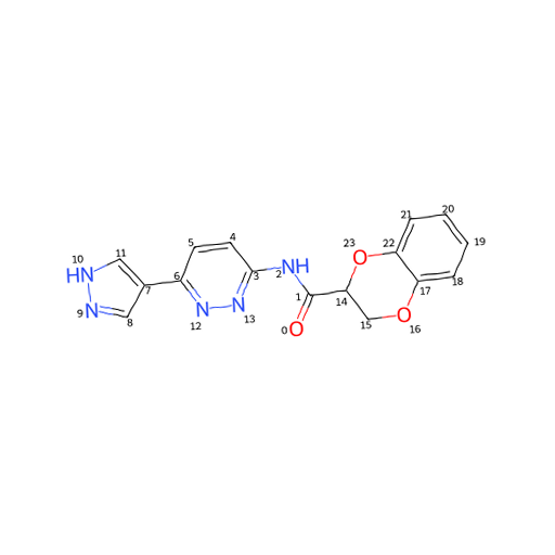 O=C(Nc1ccc(-c2cn[nH]c2)nn1)C1COc2ccccc2O1